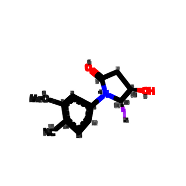 COc1cc(N2C(=O)C[C@@H](O)[C@@H]2I)ccc1C#N